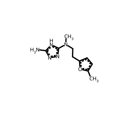 Cc1ccc(CCN(C)c2nnc(N)[nH]2)o1